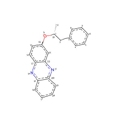 C[C@H](Cc1ccccc1)Oc1ccc2nc3ccccc3nc2c1